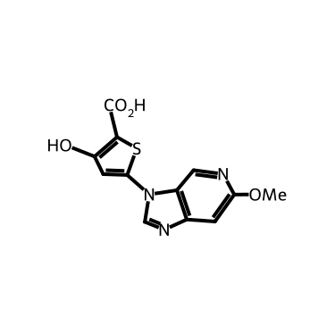 COc1cc2ncn(-c3cc(O)c(C(=O)O)s3)c2cn1